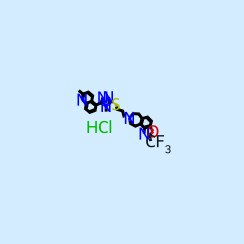 Cc1ccc2c(-c3nnc(SCCCN4CCc5ccc6oc(C(F)(F)F)nc6c5CC4)n3C)cccc2n1.Cl